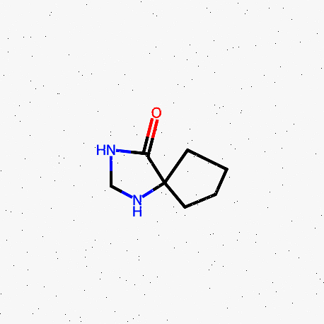 O=C1NCNC12CCCC2